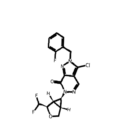 O=c1c2nn(Cc3ccccc3F)c(Cl)c2cnn1[C@H]1[C@@H]2CO[C@@H](C(F)F)[C@@H]21